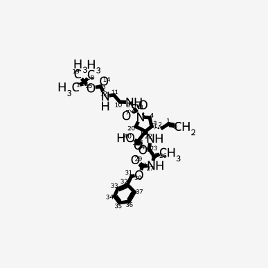 C=CC[C@H]1CN(S(=O)(=O)NCCNC(=O)OC(C)(C)C)C[C@@]1(NC(=O)C(C)NC(=O)OCc1ccccc1)C(=O)O